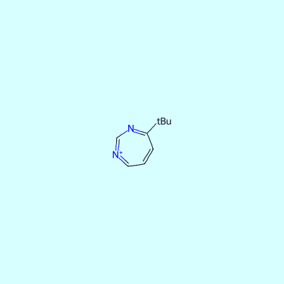 CC(C)(C)C1=NC=[N+]=CC=C1